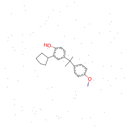 CC(C)(c1ccc(OI)cc1)c1ccc(O)c(C2CCCC2)c1